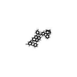 Cc1cc(C)c(N(c2ccccc2)c2ccc3ccc4c(N(c5ccccc5)c5ccc6c(c5)-c5ccccc5C65C6CC7CC(C6)CC5C7)ccc5ccc2c3c54)c(C)c1